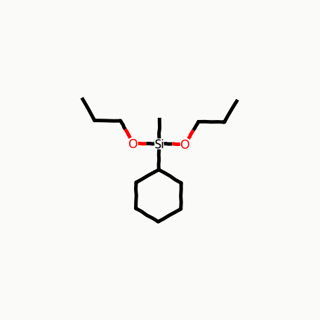 CCCO[Si](C)(OCCC)C1CCCCC1